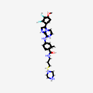 COc1ccc(-c2cnc3c(Nc4ccc(C(=O)NCCCSN5CCNCC5)c(C)c4)nccn23)c(F)c1F